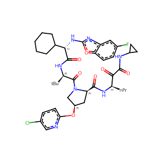 CCC[C@@H](NC(=O)[C@H]1C[C@@H](Oc2ccc(Cl)cn2)CN1C(=O)[C@H](NC(=O)[C@@H](Nc1nc2cc(F)ccc2o1)C1CCCCC1)C(C)(C)C)C(=O)C(=O)NC1CC1